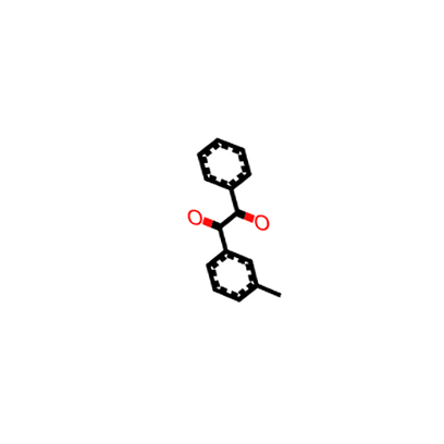 Cc1cccc(C(=O)C(=O)c2ccccc2)c1